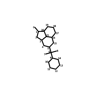 CC1CC2CC(C(C)(C)C3CCCCC3)CC3CCCC1C32